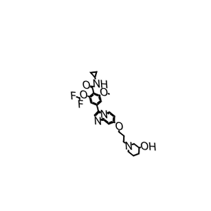 COc1cc(-c2cnc3cc(OCCCN4CCCC(O)C4)ccn23)cc(OC(F)F)c1C(=O)NC1CC1